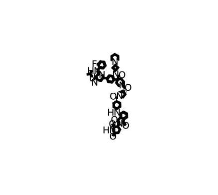 CC(C)n1cnc2cc(-c3ccc4c(c3)N([C@H]3C[C@@H](N5CCCCC5)C3)C(=O)C43CCN(C(=O)[C@@H]4CCN(C(=O)[C@H]5CC[C@H](Nc6cccc7c6C(=O)N(C6CCC(=O)NC6=O)C7=O)CC5)C4)CC3)nc(Nc3ccccc3F)c21